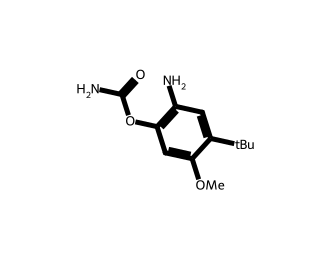 COc1cc(OC(N)=O)c(N)cc1C(C)(C)C